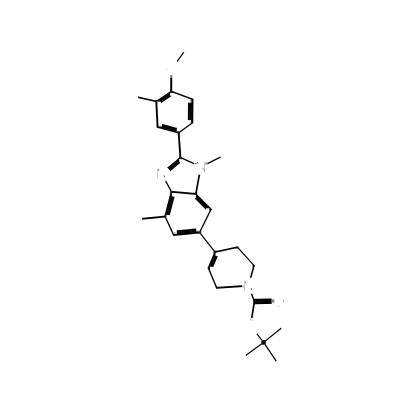 COc1ccc(-c2nc3c(C)cc(C4=CCN(C(=O)OC(C)(C)C)CC4)cc3n2C)cc1F